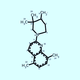 [CH2]C1CCN(c2ccc3c(C)ccc(C)c3n2)CC1(C)C